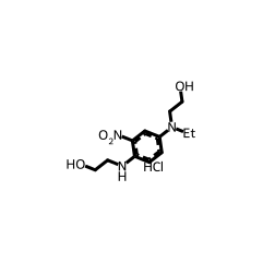 CCN(CCO)c1ccc(NCCO)c([N+](=O)[O-])c1.Cl